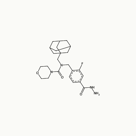 NNC(=O)c1ccc(CN(CC23CC4CC(CC(C4)C2)C3)C(=O)N2CCOCC2)c(F)c1